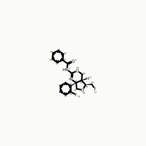 O=C(NC1=N[C@@]2(c3ccccc3F)CO[C@H](CF)[C@H]2CO1)c1ccccc1